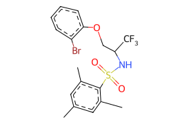 Cc1cc(C)c(S(=O)(=O)NC(COc2ccccc2Br)C(F)(F)F)c(C)c1